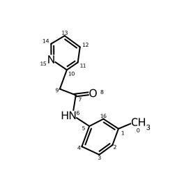 Cc1cccc(NC(=O)Cc2ccccn2)c1